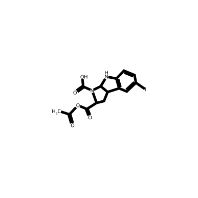 CC(=O)OC(=O)C1CC2c3cc(I)ccc3NC2N1C(=O)O